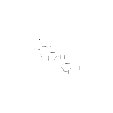 C=C(Cc1ccc(Nc2ccnc(C)c2)cc1)C(N)=O